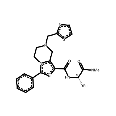 CNC(=O)[C@@H](NC(=O)c1nc(-c2ccccc2)n2c1CN(Cc1nccs1)CC2)C(C)(C)C